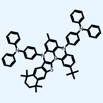 Cc1cc2c3c(c1)N(c1ccc(N(c4ccccc4)c4ccccc4)cc1)c1c(sc4cc5c(cc14)C(C)(C)CCC5(C)C)B3c1cc(C(C)(C)C)ccc1N2c1ccc(N(c2ccccc2)c2ccccc2)cc1